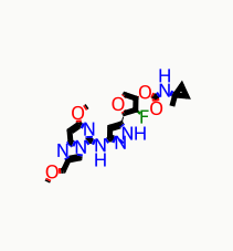 COCc1cn2c(Nc3cc([C@@H]4OC[C@H](OC(=O)NC5(C)CC5)[C@H]4F)[nH]n3)nc(OC)cc2n1